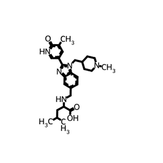 Cc1cc(-c2nc3cc(CNC(CC(C)C)C(=O)O)ccc3n2CC2CCN(C)CC2)c[nH]c1=O